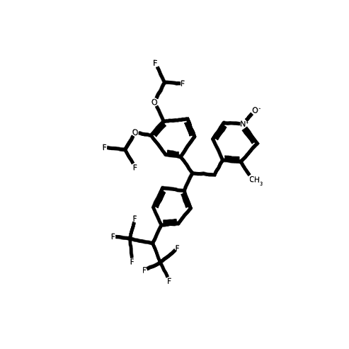 Cc1c[n+]([O-])ccc1CC(c1ccc(C(C(F)(F)F)C(F)(F)F)cc1)c1ccc(OC(F)F)c(OC(F)F)c1